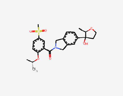 CC1OCCC1(O)c1ccc2c(c1)CN(C(=O)c1cc(S(C)(=O)=O)ccc1O[C@@H](C)C(F)(F)F)C2